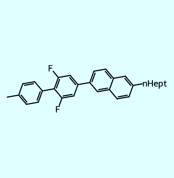 CCCCCCCc1ccc2cc(-c3cc(F)c(-c4ccc(C)cc4)c(F)c3)ccc2c1